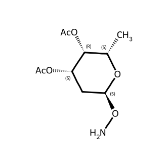 CC(=O)O[C@@H]1[C@H](C)O[C@@H](ON)C[C@@H]1OC(C)=O